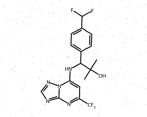 CC(C)(O)C(Nc1cc(C(F)(F)F)nc2ncnn12)c1ccc(C(F)F)cc1